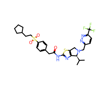 CC(C)[C@H]1c2nc(NC(=O)Cc3ccc(S(=O)(=O)CCC4CCCC4)cc3)sc2CN1Cc1ccc(C(F)(F)F)nn1